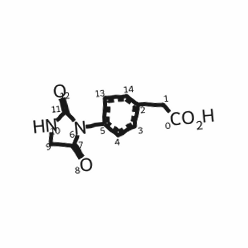 O=C(O)Cc1ccc(N2C(=O)CNC2=O)cc1